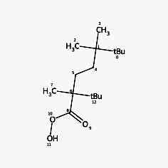 CC(C)(C)C(C)(C)CCC(C)(C(=O)OO)C(C)(C)C